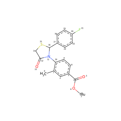 Cc1cc(C(=O)OC(C)(C)C)ccc1N1C(=O)CSC1c1ccc(F)cc1